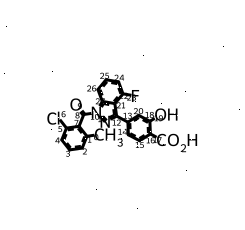 Cc1cccc(Cl)c1C(=O)n1nc(-c2ccc(C(=O)O)c(O)c2)c2c(F)cccc21